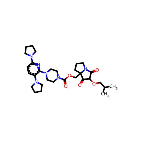 CC(C)COC1C(=O)N2CCCC2(COC(=O)N2CCN(c3nc(N4CCCC4)ccc3N3CCCC3)CC2)C1=O